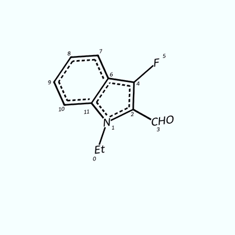 CCn1c(C=O)c(F)c2ccccc21